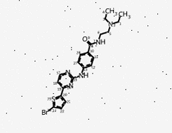 CCN(CC)CCNC(=O)c1ccc(Nc2nccc(-c3ccc(Br)s3)n2)cc1